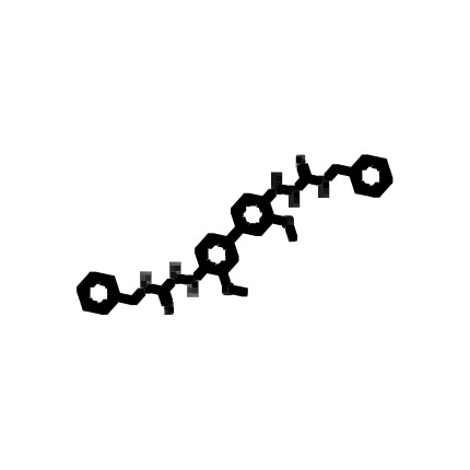 COc1cc(-c2ccc(NNC(=S)NCc3ccccc3)c(OC)c2)ccc1NNC(=S)NCc1ccccc1